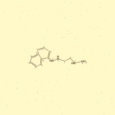 NNCCNNc1cccc2ccccc12